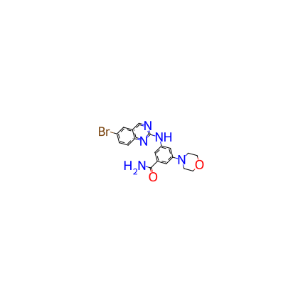 NC(=O)c1cc(Nc2ncc3cc(Br)ccc3n2)cc(N2CCOCC2)c1